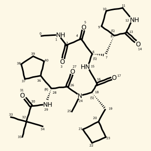 CNC(=O)C(=O)[C@H](C[C@@H]1CCCNC1=O)NC(=O)[C@H](CC1CCC1)N(C)C(=O)[C@H](NC(=O)C(C)(C)C)C1CCCC1